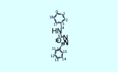 c1ccc(CNc2nnc(-c3ccccc3)o2)cc1